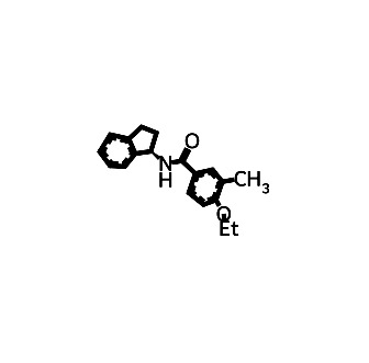 CCOc1ccc(C(=O)N[C@@H]2CCc3ccccc32)cc1C